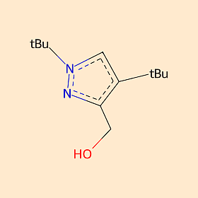 CC(C)(C)c1cn(C(C)(C)C)nc1CO